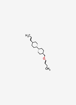 CC=C[C@H]1CC[C@H]([C@H]2CC[C@H](COC=CCC)CC2)CC1